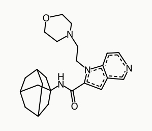 O=C(NC12CC3CC(CC(C3)C1)C2)c1cc2cnccc2n1CCN1CCOCC1